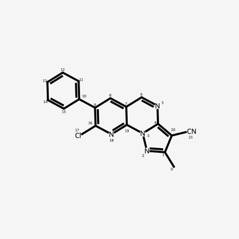 Cc1nn2c(ncc3cc(-c4ccccc4)c(Cl)nc32)c1C#N